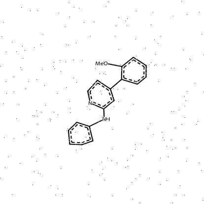 COc1ccccc1-c1ccnc(Nc2c[c]ccc2)c1